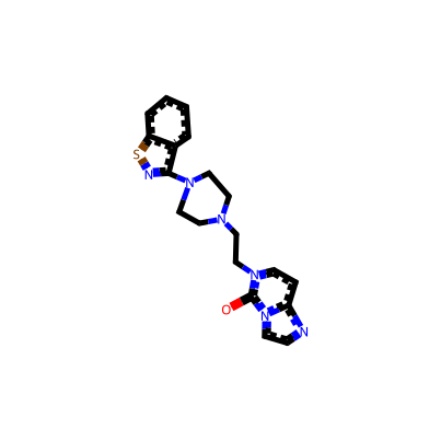 O=c1n(CCN2CCN(c3nsc4ccccc34)CC2)ccc2nccn12